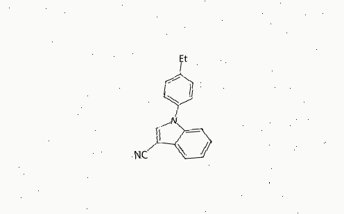 CCc1ccc(-n2cc(C#N)c3ccccc32)cc1